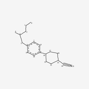 CCCC(C)Cc1ccc(C2CCC(C#N)CC2)cc1